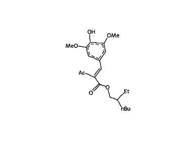 CCCCC(CC)COC(=O)C(=Cc1cc(OC)c(O)c(OC)c1)C(C)=O